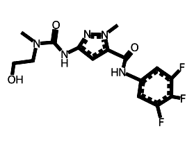 CN(CCO)C(=O)Nc1cc(C(=O)Nc2cc(F)c(F)c(F)c2)n(C)n1